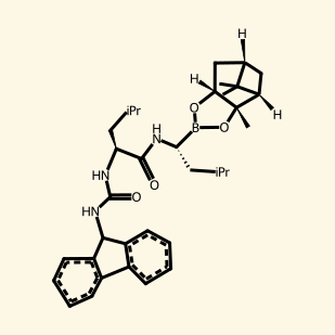 CC(C)C[C@H](NC(=O)[C@H](CC(C)C)NC(=O)NC1c2ccccc2-c2ccccc21)B1O[C@@H]2C[C@@H]3C[C@@H](C3(C)C)[C@]2(C)O1